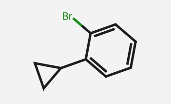 Brc1ccccc1C1[CH]C1